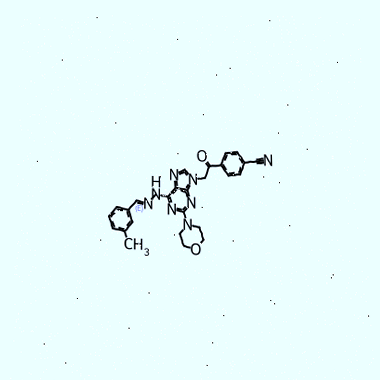 Cc1cccc(/C=N/Nc2nc(N3CCOCC3)nc3c2ncn3CC(=O)c2ccc(C#N)cc2)c1